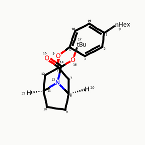 CCCCCCc1ccc(O[C@H]2C[C@H]3CC[C@@H](C2)N3C(=O)OC(C)(C)C)cc1